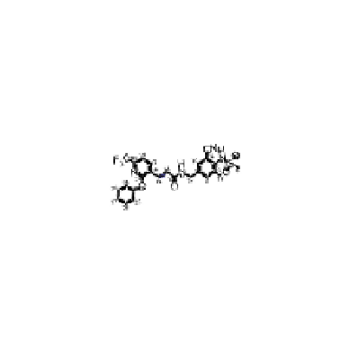 CS(=O)(=O)Nc1c(F)cc(CNC(=O)/C=C/c2ccc(C(F)(F)F)nc2Oc2ccccc2)cc1C#N